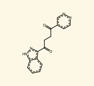 O=C(CCC(=O)c1n[nH]c2ccccc12)c1ccnnc1